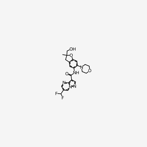 CC1(CO)Cc2cc(NC(=O)c3cnn4cc(C(F)F)cnc34)c(N3CCOCC3)cc2O1